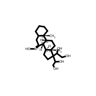 C[C@]12CCCCC1C/C(=N\O)[C@@H]1[C@H]2CC[C@@]2(C)[C@H]1CCC2(C(O)CO)C(O)CO